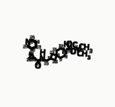 CC(C)(C)OC(=O)N1CCC2(CC1)CC(CNC(=O)[C@H]1C[C@@H]1c1cccnc1)C2